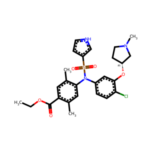 CCOC(=O)c1cc(C)c(N(c2ccc(Cl)c(O[C@@H]3CCN(C)C3)c2)S(=O)(=O)c2cc[nH]c2)cc1C